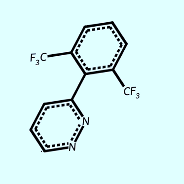 FC(F)(F)c1cccc(C(F)(F)F)c1-c1cc[c]nn1